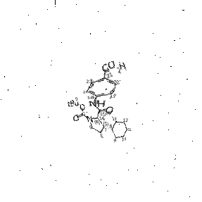 CC(C)(C)OC(=O)N1CC[C@@H](C2CCCCC2)[C@@H]1C(=O)Nc1ccc(C(=O)O)cc1